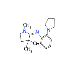 CN1CCC(C)(C)/C1=N\c1ccccc1N1CCCC1